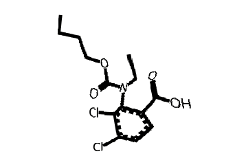 CCCCOC(=O)N(CC)c1c(C(=O)O)ccc(Cl)c1Cl